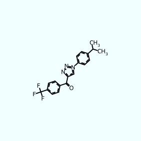 CC(C)c1ccc(-n2cc(C(=O)c3ccc(C(F)(F)F)cc3)nn2)cc1